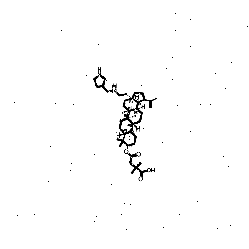 C=C(C)C1CC[C@]2(CCNCC3CCNC3)CC[C@]3(C)[C@H](CC[C@@H]4[C@@]5(C)CC[C@H](OC(=O)CC(C)(C)C(=O)O)C(C)(C)[C@@H]5CC[C@]43C)[C@@H]12